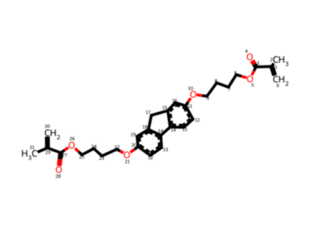 C=C(C)C(=O)OCCCCOc1ccc2c(c1)Cc1cc(OCCCCOC(=O)C(=C)C)ccc1-2